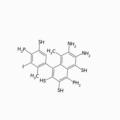 Cc1c(-c2c(S)c(S)c(P)c3c(S)c(N)c(N)c(C)c23)cc(S)c(P)c1I